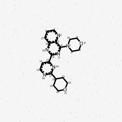 c1cnc2c(N3CCOCC3)nc(-c3ccnc(C4CCOCC4)n3)nc2c1